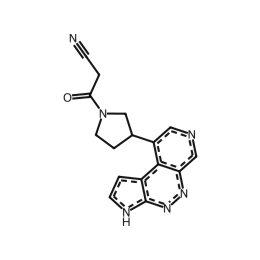 N#CCC(=O)N1CCC(c2cncc3nnc4[nH]ccc4c23)C1